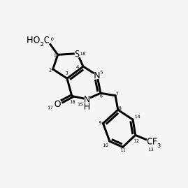 O=C(O)C1Cc2c(nc(Cc3cccc(C(F)(F)F)c3)[nH]c2=O)S1